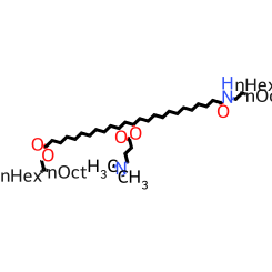 CCCCCCCCC(CCCCCC)CNC(=O)CCCCCCCCCCCC(CCCCCCCCCCCC(=O)OCC(CCCCCC)CCCCCCCC)OC(=O)CCCN(C)C